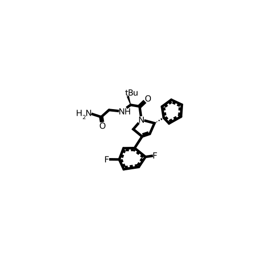 CC(C)(C)[C@H](NCC(N)=O)C(=O)N1CC(c2cc(F)ccc2F)=C[C@H]1c1ccccc1